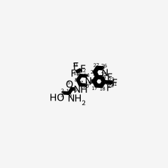 NC(CO)C(=O)N[C@@H]1C[C@H](C(F)(F)F)CN(c2ccc(C(F)(F)F)c3ncccc23)C1